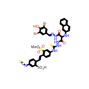 COS(=O)(=O)c1cc(NC(=S)NNC(=O)C(Nc2ccc3ccccc3c2)C(=O)N/N=C/c2cc(Br)c(O)c(Br)c2)ccc1/C=C/c1ccc(N=C=S)cc1S(=O)(=O)O